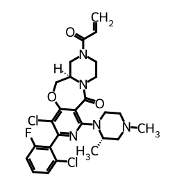 C=CC(=O)N1CCN2C(=O)c3c(N4CCN(C)C[C@@H]4C)nc(-c4c(F)cccc4Cl)c(Cl)c3OC[C@H]2C1